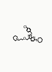 Clc1ccc(Cn2nc(COCCCN3CCCCC3)c3ccc(N4CCCCCC4)nc32)cc1